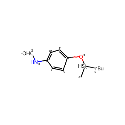 CCCC[SiH](C)Oc1ccc(N[C]=O)cc1